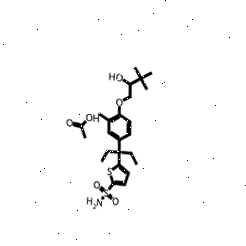 CC(=O)O.CCC(CC)(c1ccc(OCC(O)C(C)(C)C)c(C)c1)c1ccc(S(N)(=O)=O)s1